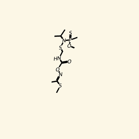 COP(C)(=S)N(SCNC(=O)O/N=C(\C)SC)C(C)C